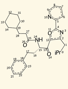 CC(C)Cc1nc(-c2ccccn2)oc1C(=O)[C@H](CCc1ccccc1)NC(=O)[CH]CC1CCCCC1